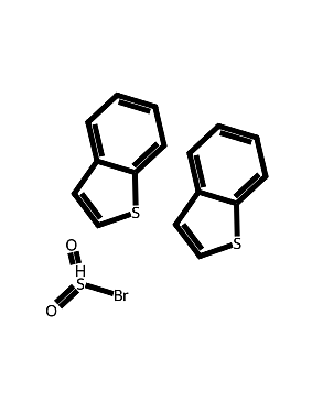 O=[SH](=O)Br.c1ccc2sccc2c1.c1ccc2sccc2c1